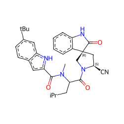 CC(C)CC(C(=O)N1C[C@]2(C[C@H]1C#N)C(=O)Nc1ccccc12)N(C)C(=O)c1cc2ccc(C(C)(C)C)cc2[nH]1